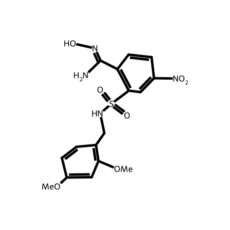 COc1ccc(CNS(=O)(=O)c2cc([N+](=O)[O-])ccc2/C(N)=N/O)c(OC)c1